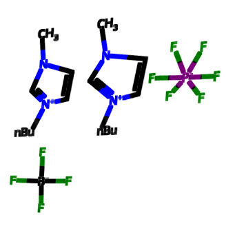 CCCC[n+]1ccn(C)c1.CCCC[n+]1ccn(C)c1.F[B-](F)(F)F.F[P-](F)(F)(F)(F)F